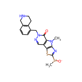 Cn1c2nc([S+](C)[O-])sc2c2cnn(Cc3cccc4c3CCNC4)c(=O)c21